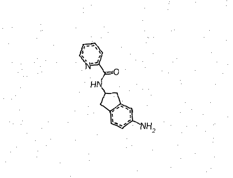 Nc1ccc2c(c1)CC(NC(=O)c1ccccn1)C2